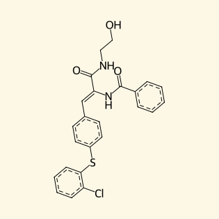 O=C(NCCO)C(=Cc1ccc(Sc2ccccc2Cl)cc1)NC(=O)c1ccccc1